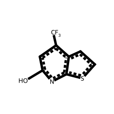 Oc1cc(C(F)(F)F)c2ccsc2n1